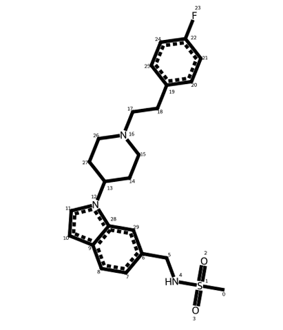 CS(=O)(=O)NCc1ccc2ccn(C3CCN(CCc4ccc(F)cc4)CC3)c2c1